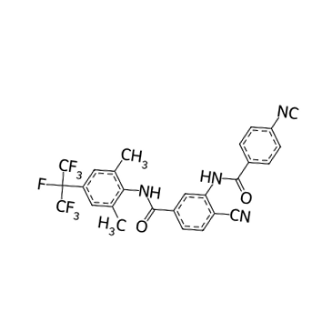 [C-]#[N+]c1ccc(C(=O)Nc2cc(C(=O)Nc3c(C)cc(C(F)(C(F)(F)F)C(F)(F)F)cc3C)ccc2C#N)cc1